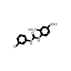 CCCCCCCCc1ccc(NC(=O)Nc2cccc(Cl)c2)c(C(=O)O)c1